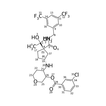 CC(C)(O)[C@]1(C(=O)NCc2cc(C(F)(F)F)cc(C(F)(F)F)c2)CC[C@@H](NC2CCOCC2OC(=O)c2cccc(Cl)c2)C1